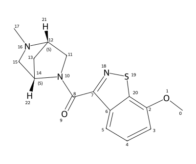 COc1cccc2c(C(=O)N3C[C@@H]4C[C@H]3CN4C)nsc12